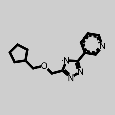 c1cncc(C2=NN=C(COCC3CCCC3)[N]2)c1